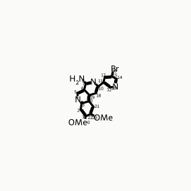 COc1cc2ncc3c(N)nc(-c4cncc(Br)c4)cc3c2cc1OC